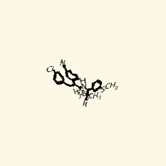 CSc1cccc([C@H](NC(C)C(Cc2ccc(Cl)cc2)c2cccc(C#N)c2)C(C)(C)C#N)c1